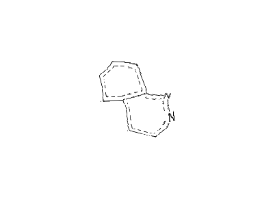 [c]1cccc2nnc[c]c12